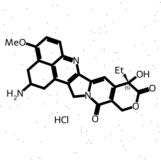 CC[C@@]1(O)C(=O)OCc2c1cc1n(c2=O)Cc2c-1nc1ccc(OC)c3c1c2CC(N)C3.Cl